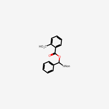 CCCCCCCCCC(OC(=O)c1ccccc1C(=O)O)c1ccccc1